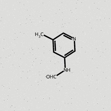 Cc1cncc(N[C]=O)c1